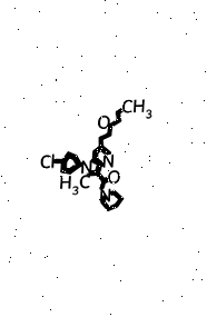 CCCC(=O)CCc1cnc2c(C(=O)CN3CCCCC3)c(C)n(-c3ccc(Cl)cc3)c2c1